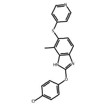 Cc1c(Sc2ccncc2)ccc2nc(Oc3ccc(Cl)cc3)[nH]c12